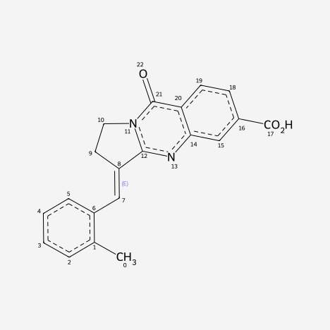 Cc1ccccc1/C=C1\CCn2c1nc1cc(C(=O)O)ccc1c2=O